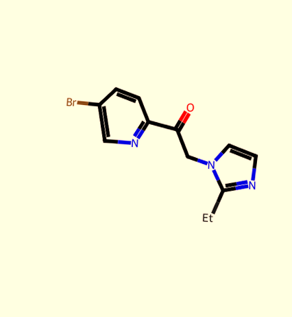 CCc1nccn1CC(=O)c1ccc(Br)cn1